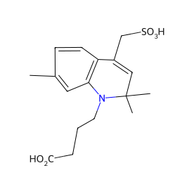 Cc1ccc2c(c1)N(CCCC(=O)O)C(C)(C)C=C2CS(=O)(=O)O